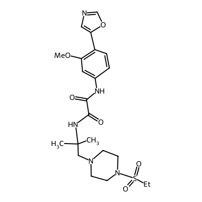 CCS(=O)(=O)N1CCN(CC(C)(C)NC(=O)C(=O)Nc2ccc(-c3cnco3)c(OC)c2)CC1